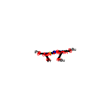 CCCCOC(=O)CCCCCCC(O)CN(CCCC(=O)OCCN1CCN(CCSSCCCCN(CC(O)CCCCC(=O)OC(C)C)CC(O)CCCCC(=O)OC(C)C)CC1)CC(O)CCCCCCC(=O)OCCCC